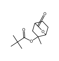 CC(C)(C)C(=O)OC1(C)CC2CCC1OC2=O